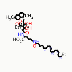 CC/C=C\C/C=C\C/C=C\C/C=C\C/C=C\CCCC(=O)NCCCCC(NC(=O)C[C@H](O)C[C@@H](O)CC[C@@H]1C2C(=C[C@H](C)CC2OC(=O)C(C)(C)CC)C=C[C@H]1C)C(=O)O